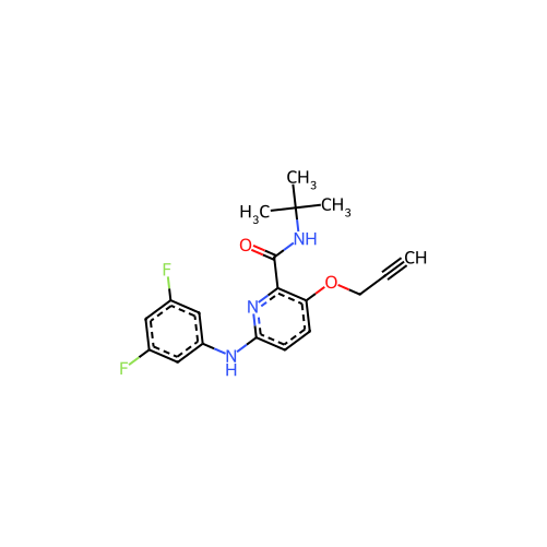 C#CCOc1ccc(Nc2cc(F)cc(F)c2)nc1C(=O)NC(C)(C)C